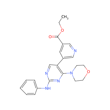 CCOC(=O)c1cncc(-c2cnc(Nc3ccccc3)nc2N2CCOCC2)c1